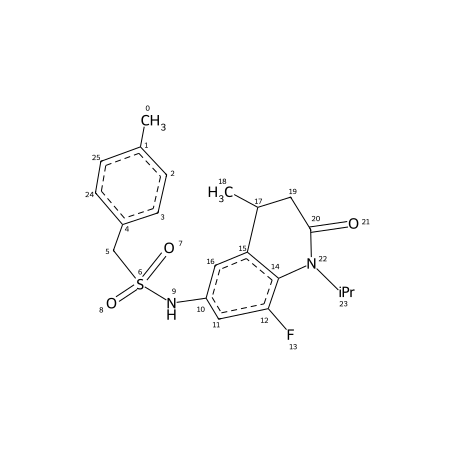 Cc1ccc(CS(=O)(=O)Nc2cc(F)c3c(c2)C(C)CC(=O)N3C(C)C)cc1